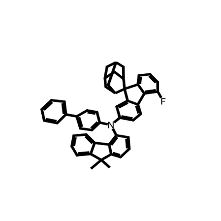 CC1(C)c2ccccc2-c2c(N(c3ccc(-c4ccccc4)cc3)c3ccc4c(c3)C3(c5cccc(F)c5-4)C4CC5CC(C4)CC3C5)cccc21